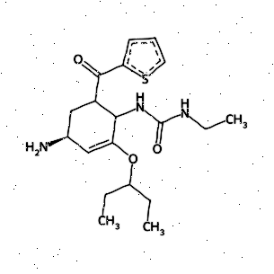 CCNC(=O)NC1C(OC(CC)CC)=C[C@@H](N)CC1C(=O)c1cccs1